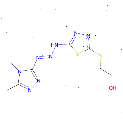 Cc1nnc(N=NNc2nnc(SCCO)s2)n1C